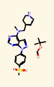 CC(C)(C)OC=O.CN(CC1CCNCC1)c1ncnc2c1cnn2-c1ccc(S(C)(=O)=O)cc1